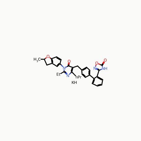 CCCc1nc(CC)n(-c2ccc3c(c2)CC(C)O3)c(=O)c1Cc1ccc(-c2ccccc2-c2noc(=O)[nH]2)cc1.[KH]